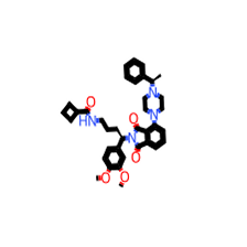 COc1ccc([C@@H](CCCNC(=O)C2CCC2)N2C(=O)c3cccc(N4CCN([C@H](C)c5ccccc5)CC4)c3C2=O)cc1OC